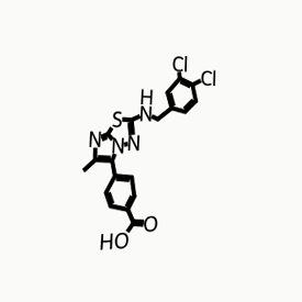 Cc1nc2sc(NCc3ccc(Cl)c(Cl)c3)nn2c1-c1ccc(C(=O)O)cc1